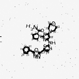 NC(=O)[C@@H]1CCCN1c1nc(Nc2ncc(-c3nnc(-c4ccccc4)o3)s2)cc(N2CCOCC2)n1